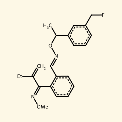 C=C(CC)/C(=N/OC)c1ccccc1/C=N/OC(C)c1cccc(CF)c1